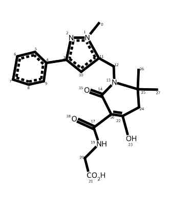 Cn1nc(-c2ccccc2)cc1CN1C(=O)C(C(=O)NCC(=O)O)=C(O)CC1(C)C